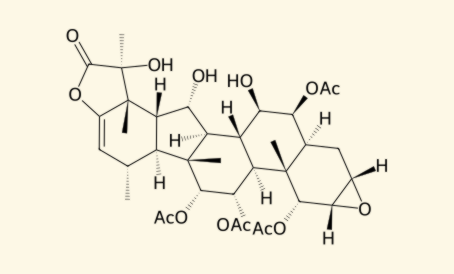 CC(=O)O[C@@H]1[C@H](O)[C@H]2[C@@H]3[C@@H](O)[C@@H]4[C@H]([C@H](C)C=C5OC(=O)[C@@](C)(O)[C@@]54C)[C@@]3(C)[C@@H](OC(C)=O)[C@@H](OC(C)=O)[C@@H]2[C@]2(C)[C@@H]1C[C@@H]1O[C@@H]1[C@@H]2OC(C)=O